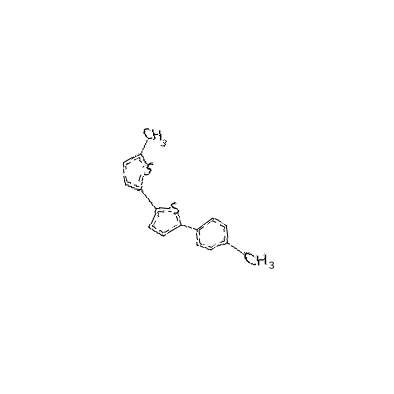 Cc1ccc(-c2ccc(-c3ccc(C)s3)s2)cc1